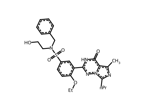 CCCc1nc(C)c2c(=O)[nH]c(-c3cc(S(=O)(=O)N(CCO)Cc4ccccc4)ccc3OCC)nn12